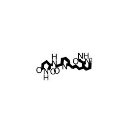 NC(=O)c1ncccc1CC=Cc1cccc(C(=O)NC2CCC(=O)NC2=O)n1